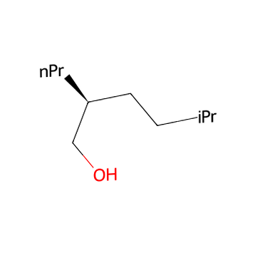 CCC[C@H](CO)CCC(C)C